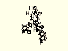 CN(C(=O)NCc1cccc(F)c1Cl)[C@@H](CNC(=O)[C@@H](N)CO)COC(=O)Nc1cc2cc(F)ccc2cn1